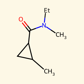 CCN(C)C(=O)C1CC1C